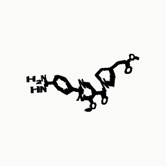 COC(=O)CC1CCN(C(=O)c2cnc(-c3ccc(C(=N)N)cc3)nc2OC)CC1